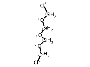 Cl[SiH2]O[SiH2]O[SiH2]O[SiH2]Cl